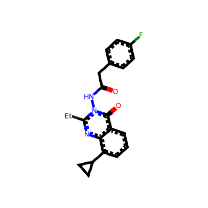 CCc1nc2c(C3CC3)cccc2c(=O)n1NC(=O)Cc1ccc(F)cc1